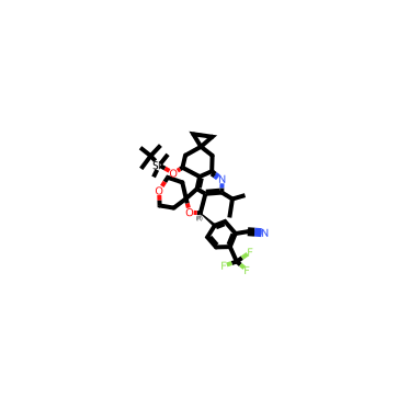 CC(C)c1nc2c(c3c1[C@@H](c1ccc(C(F)(F)F)c(C#N)c1)OC31CCOCC1)C(O[Si](C)(C)C(C)(C)C)CC1(CC1)C2